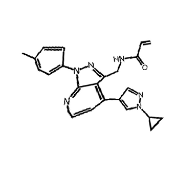 C=CC(=O)NCc1nn(-c2ccc(C)cc2)c2nccc(-c3cnn(C4CC4)c3)c12